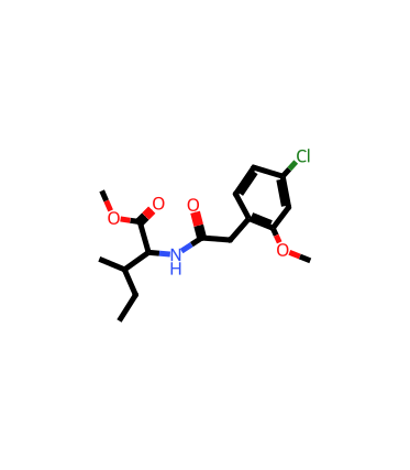 CCC(C)C(NC(=O)Cc1ccc(Cl)cc1OC)C(=O)OC